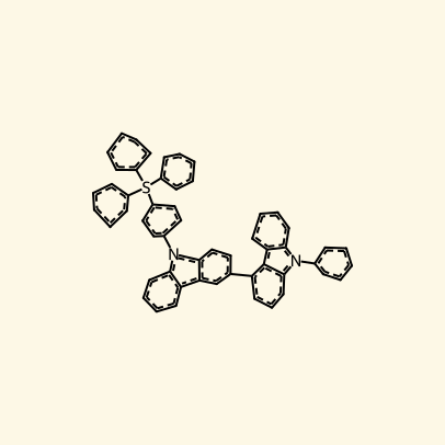 c1ccc(-n2c3ccccc3c3c(-c4ccc5c(c4)c4ccccc4n5-c4ccc(S(c5ccccc5)(c5ccccc5)c5ccccc5)cc4)cccc32)cc1